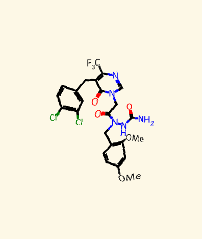 COc1ccc(CN(NC(N)=O)C(=O)Cn2cnc(C(F)(F)F)c(Cc3ccc(Cl)c(Cl)c3)c2=O)c(OC)c1